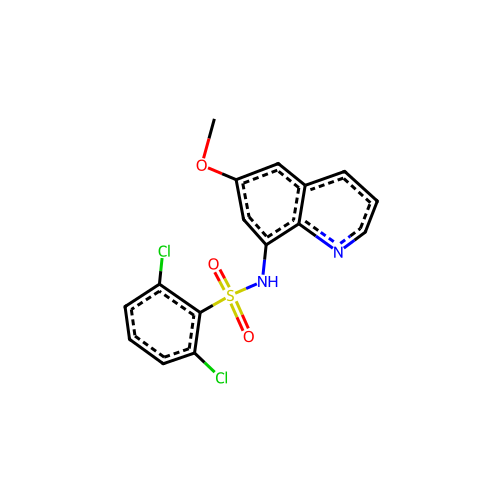 COc1cc(NS(=O)(=O)c2c(Cl)cccc2Cl)c2ncccc2c1